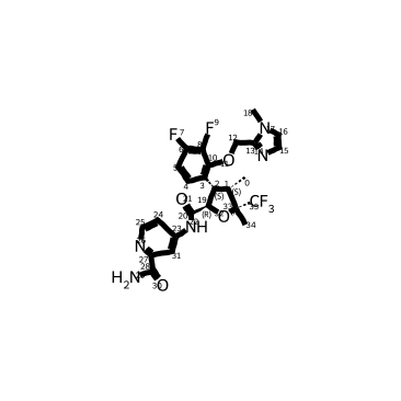 C[C@H]1[C@@H](c2ccc(F)c(F)c2OCc2nccn2C)[C@H](C(=O)Nc2ccnc(C(N)=O)c2)O[C@@]1(C)C(F)(F)F